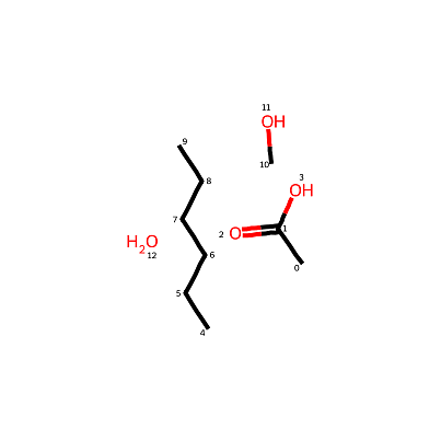 CC(=O)O.CCCCCC.CO.O